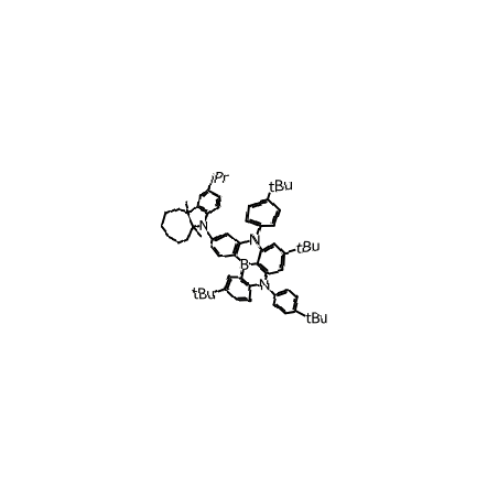 CC(C)c1ccc2c(c1)C1(C)CCCCCCC1(C)N2c1ccc2c(c1)N(c1ccc(C(C)(C)C)cc1)c1cc(C(C)(C)C)cc3c1B2c1cc(C(C)(C)C)ccc1N3c1ccc(C(C)(C)C)cc1